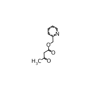 CC(=O)CC(=O)OCc1ccccn1